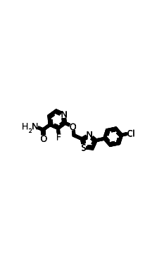 NC(=O)c1ccnc(OCc2nc(-c3ccc(Cl)cc3)cs2)c1F